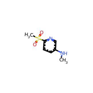 CNc1ccc(S(C)(=O)=O)nc1